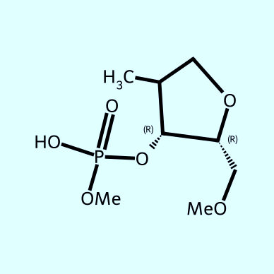 COC[C@H]1OCC(C)[C@H]1OP(=O)(O)OC